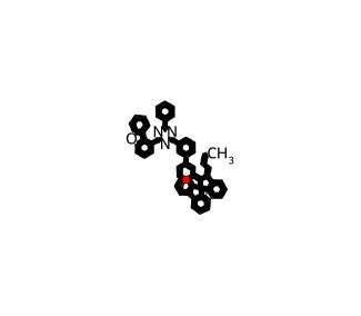 C\C=C/C=C1\C(=C2/C=C(c3cccc(-c4nc(-c5ccccc5)nc(-c5cccc6oc7ccccc7c56)n4)c3)C=CC2C)C2(c3ccccc31)c1ccccc1-c1ccccc12